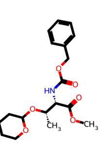 COC(=O)[C@@H](NC(=O)OCc1ccccc1)[C@H](C)OC1CCCCO1